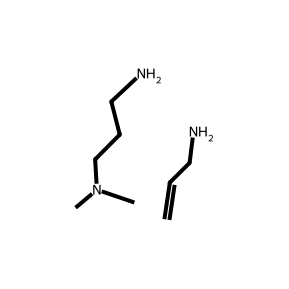 C=CCN.CN(C)CCCN